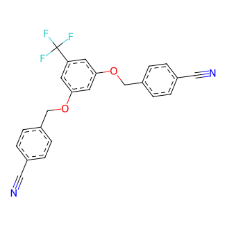 N#Cc1ccc(COc2cc(OCc3ccc(C#N)cc3)cc(C(F)(F)F)c2)cc1